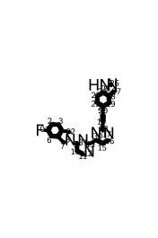 Fc1ccc2c(c1)CN(c1ccnc(-c3ccnc(C#Cc4ccc5[nH]ncc5c4)n3)n1)C2